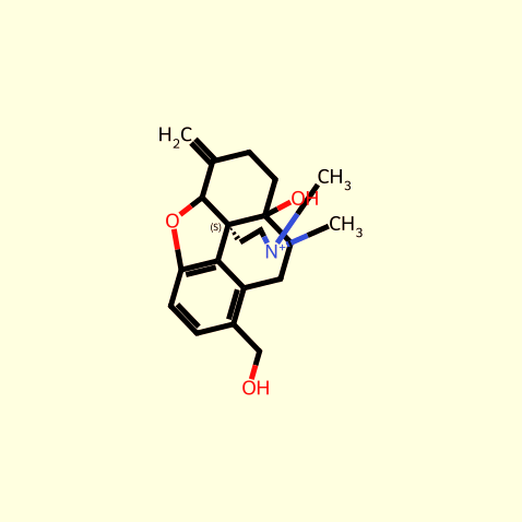 C=C1CCC2(O)C3Cc4c(CO)ccc5c4[C@@]2(CC[N+]3(C)C)C1O5